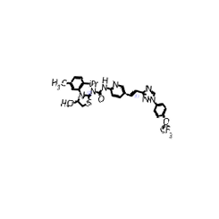 Cc1ccc(C(C)C)c(N2/C(=N/C(=O)Nc3ccc(/C=C/c4ncn(-c5ccc(OC(F)(F)F)cc5)n4)cn3)SCC2O)c1